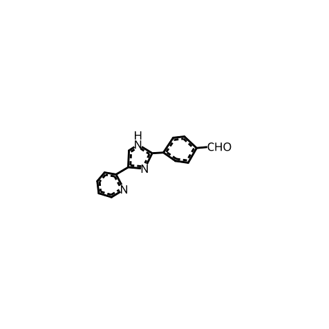 O=Cc1ccc(-c2nc(-c3ccccn3)c[nH]2)cc1